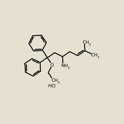 CCOC(CC(N)CC=C(C)C)(c1ccccc1)c1ccccc1.Cl